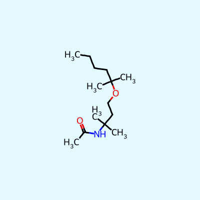 CCCCC(C)(C)OCCC(C)(C)NC(C)=O